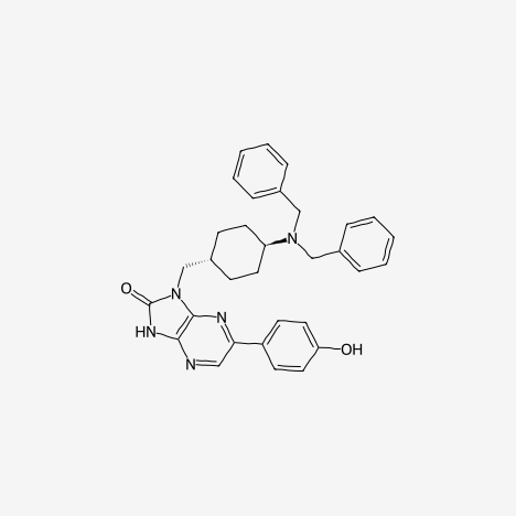 O=c1[nH]c2ncc(-c3ccc(O)cc3)nc2n1C[C@H]1CC[C@H](N(Cc2ccccc2)Cc2ccccc2)CC1